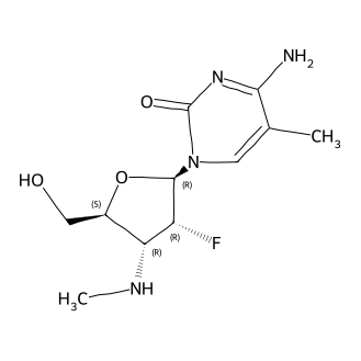 CN[C@H]1[C@@H](F)[C@H](n2cc(C)c(N)nc2=O)O[C@@H]1CO